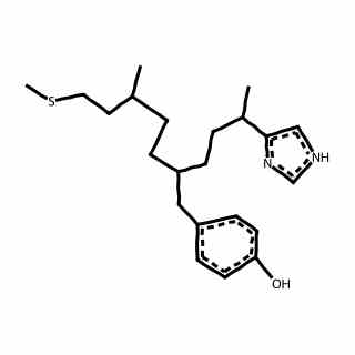 CSCCC(C)CCC(CCC(C)c1c[nH]cn1)Cc1ccc(O)cc1